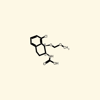 COCO[C@@H]1c2c(Cl)cccc2CC[C@@H]1NC(=O)O